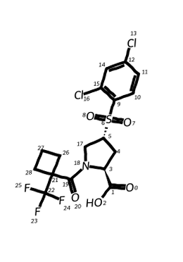 O=C(O)[C@@H]1C[C@@H](S(=O)(=O)c2ccc(Cl)cc2Cl)CN1C(=O)C1(C(F)(F)F)CCC1